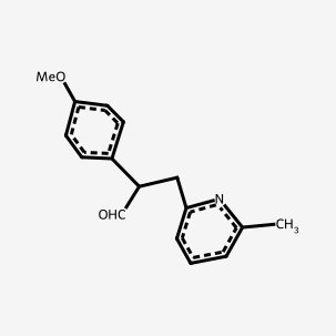 COc1ccc(C(C=O)Cc2cccc(C)n2)cc1